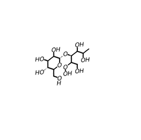 CC(O)C(O)[C@H](O[C@@H]1OC(CO)[C@H](O)C(O)C1O)C(CO)OO